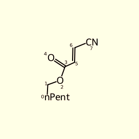 CCCCCCOC(=O)C=CC#N